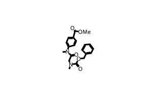 COC(=O)c1ccc(N(C)C(=O)CN(C)C(=O)OCc2ccccc2)cc1